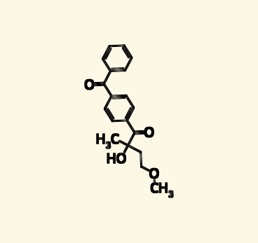 COCCC(C)(O)C(=O)c1ccc(C(=O)c2ccccc2)cc1